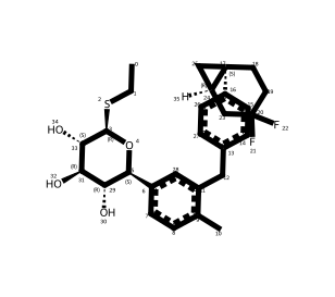 CCS[C@H]1O[C@@H](c2ccc(C)c(Cc3ccc([C@]45CCC(F)(F)C[C@H]4C5)cc3)c2)[C@H](O)[C@@H](O)[C@@H]1O